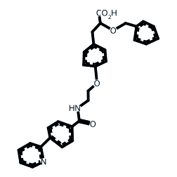 O=C(NCCOc1ccc(CC(OCc2ccccc2)C(=O)O)cc1)c1ccc(-c2ccccn2)cc1